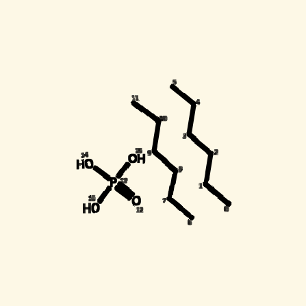 CCCCCC.CCCCCC.O=P(O)(O)O